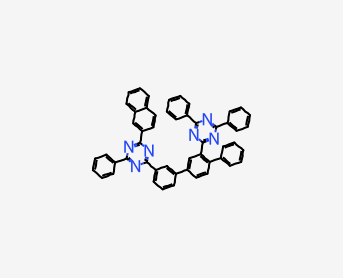 c1ccc(-c2nc(-c3cccc(-c4ccc(-c5ccccc5)c(-c5nc(-c6ccccc6)nc(-c6ccccc6)n5)c4)c3)nc(-c3ccc4ccccc4c3)n2)cc1